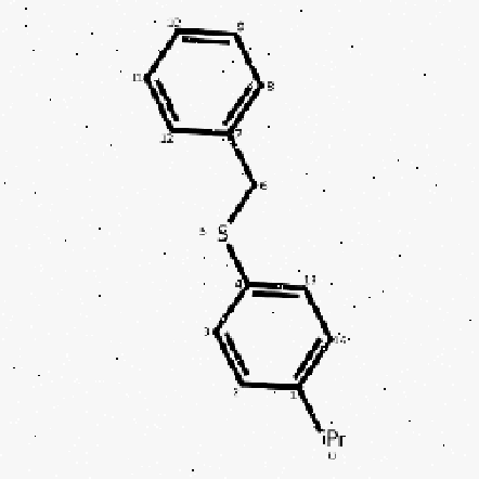 CC(C)c1ccc(SCc2ccccc2)cc1